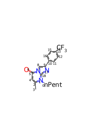 CCCCCn1c(C)cc(=O)n2cc(-c3ccc(C(F)(F)F)cc3)nc12